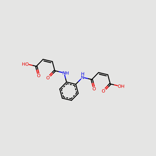 O=C(O)/C=C\C(=O)Nc1ccccc1NC(=O)/C=C\C(=O)O